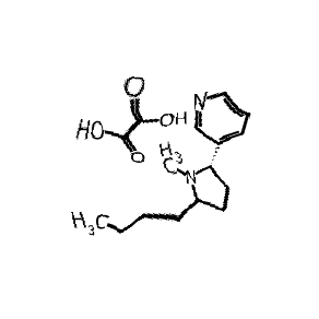 CCCCC1CC[C@@H](c2cccnc2)N1C.O=C(O)C(=O)O